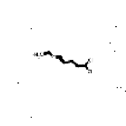 [CH2]COC=CCCC(Cl)Cl